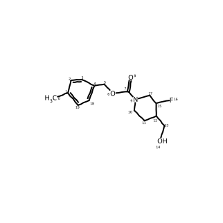 Cc1ccc(COC(=O)N2CCC(CO)C(F)C2)cc1